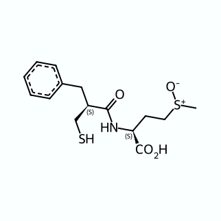 C[S+]([O-])CC[C@H](NC(=O)[C@@H](CS)Cc1ccccc1)C(=O)O